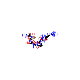 C[C@@H](O)[C@H](NC(=O)[C@H](CS)NC(=O)[C@H](CO)NC(=O)CNC(=O)[C@@H]1CCCN1C(=O)[C@H](CC(=O)O)NC(=O)CNC(=O)[C@@H](N)CCCNC(=N)N)C(N)=O